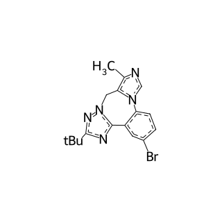 Cc1ncn2c1Cn1nc(C(C)(C)C)nc1-c1cc(Br)ccc1-2